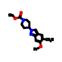 CC(C)Oc1cc2nn(C3CCN(C(=O)OC(C)(C)C)CC3)cc2cc1C(=O)O